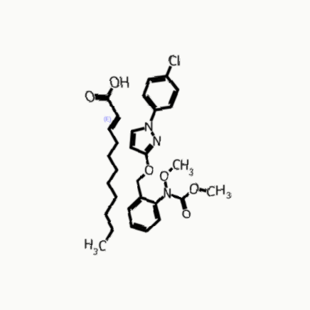 CCCCCCCC/C=C/C(=O)O.COC(=O)N(OC)c1ccccc1COc1ccn(-c2ccc(Cl)cc2)n1